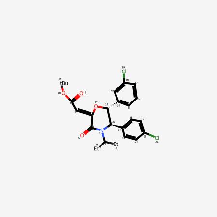 CCC(CC)N1C(=O)/C(=C/C(=O)OC(C)(C)C)O[C@H](c2cccc(Cl)c2)[C@H]1c1ccc(Cl)cc1